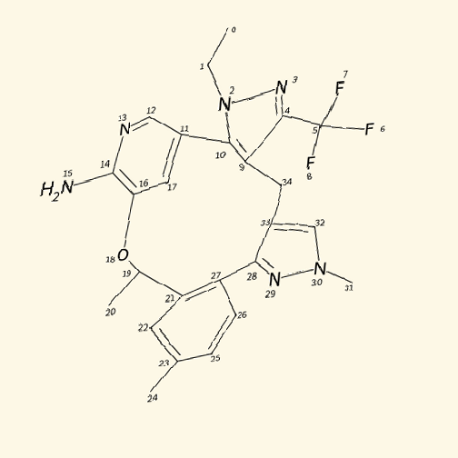 CCn1nc(C(F)(F)F)c2c1-c1cnc(N)c(c1)OC(C)c1cc(C)ccc1-c1nn(C)cc1C2